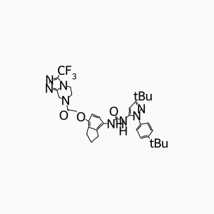 CC(C)(C)c1ccc(-n2nc(C(C)(C)C)cc2NC(=O)Nc2ccc(OCC(=O)N3CCn4c(nnc4C(F)(F)F)C3)c3c2CCC3)cc1